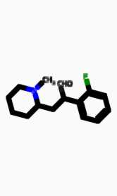 CN1CCCCC1CC(C=O)c1ccccc1F